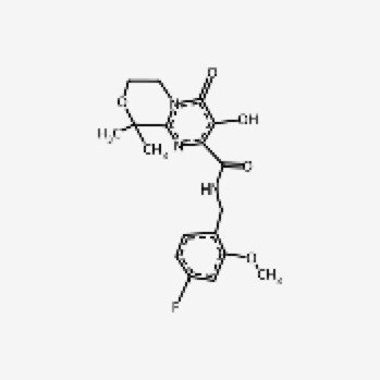 COc1cc(F)ccc1CNC(=O)c1nc2n(c(=O)c1O)CCOC2(C)C